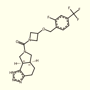 O=C(N1CC(OCc2ccc(C(F)(F)F)cc2F)C1)N1C[C@H]2CCc3nn[nH]c3[C@H]2C1